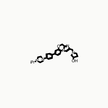 CC(C)N1CCN(c2ccc(-c3ccc4c(c3)OCc3nc(CN5CCC(O)C5)cn3-4)cc2)CC1